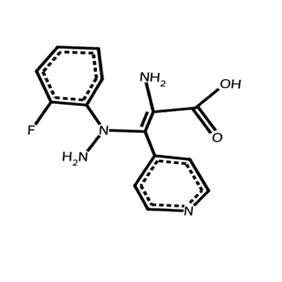 N/C(C(=O)O)=C(/c1ccncc1)N(N)c1ccccc1F